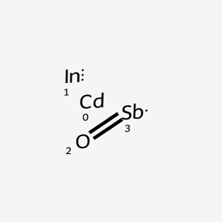 [Cd].[In].[O]=[Sb]